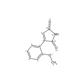 COc1ccccc1C1=CC(=O)NC1=O